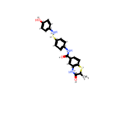 CC1Sc2ccc(C(=O)Nc3ccc(SNc4ccc(O)cc4)cc3)cc2NC1=O